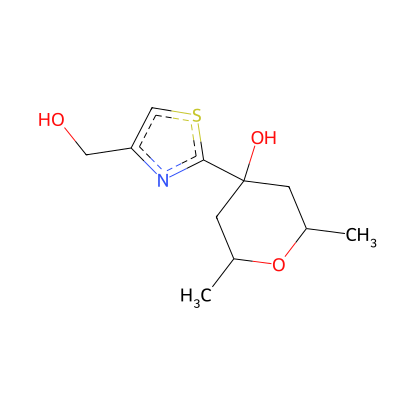 CC1CC(O)(c2nc(CO)cs2)CC(C)O1